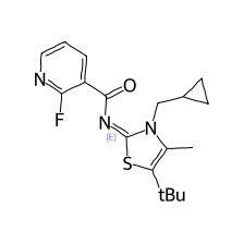 Cc1c(C(C)(C)C)s/c(=N/C(=O)c2cccnc2F)n1CC1CC1